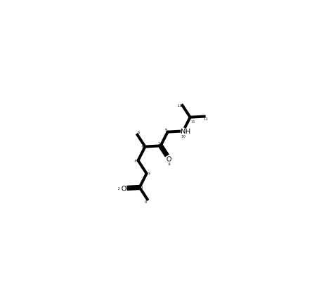 CC(=O)CCC(C)C(=O)CNC(C)C